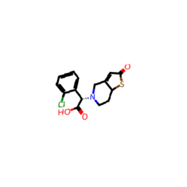 O=C1C=C2CN([C@H](C(=O)O)c3ccccc3Cl)CCC2S1